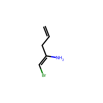 C=CCC(N)=CBr